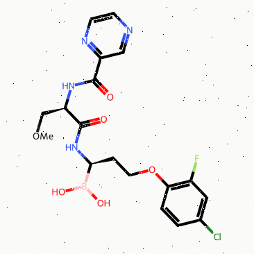 COC[C@@H](NC(=O)c1cnccn1)C(=O)N[C@@H](CCOc1ccc(Cl)cc1F)B(O)O